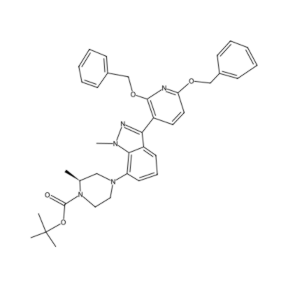 C[C@H]1CN(c2cccc3c(-c4ccc(OCc5ccccc5)nc4OCc4ccccc4)nn(C)c23)CCN1C(=O)OC(C)(C)C